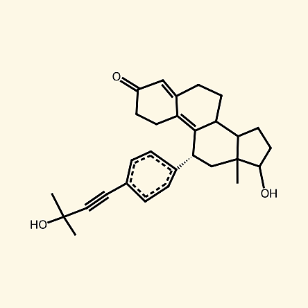 CC(C)(O)C#Cc1ccc([C@H]2CC3(C)C(O)CCC3C3CCC4=CC(=O)CCC4=C32)cc1